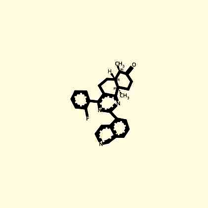 C[C@H]1C(=O)CC[C@@]2(C)c3nc(-c4cccc5cnccc45)nc(-c4ccccc4F)c3CC[C@H]12